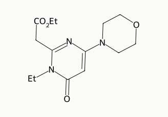 CCOC(=O)Cc1nc(N2CCOCC2)cc(=O)n1CC